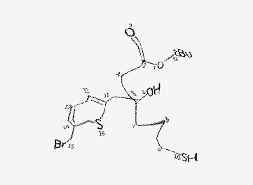 CC(C)(C)OC(=O)CC(O)(CCCS)c1ccc(Br)s1